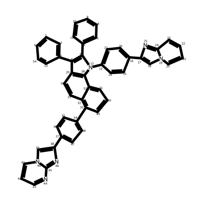 c1ccc(-c2c(-c3ccccc3)n(-c3ccc(-c4cn5ccccc5n4)cc3)c3c2ccc2c(-c4ccc(-c5cn6cccnc6n5)cc4)cccc23)cc1